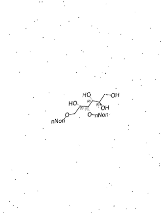 CCCCCCCCCOC[C@H](O)[C@@H](OCCCCCCCCC)[C@H](O)[C@H](O)CO